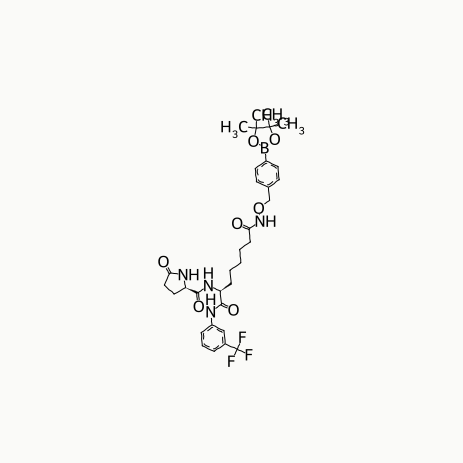 CC1(C)OB(c2ccc(CONC(=O)CCCCC[C@H](NC(=O)[C@H]3CCC(=O)N3)C(=O)Nc3cccc(C(F)(F)F)c3)cc2)OC1(C)C